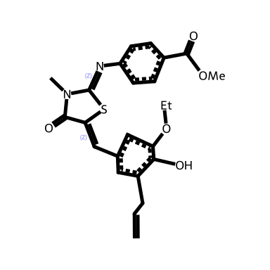 C=CCc1cc(/C=C2\S/C(=N\c3ccc(C(=O)OC)cc3)N(C)C2=O)cc(OCC)c1O